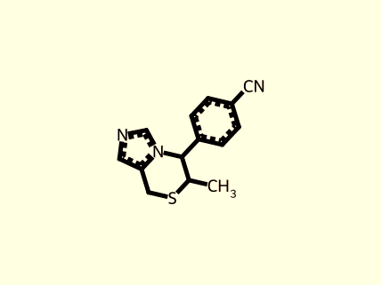 CC1SCc2cncn2C1c1ccc(C#N)cc1